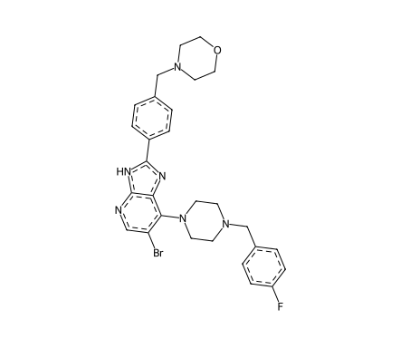 Fc1ccc(CN2CCN(c3c(Br)cnc4[nH]c(-c5ccc(CN6CCOCC6)cc5)nc34)CC2)cc1